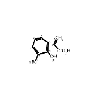 C=CC(=O)O.CCCCc1ccccc1O